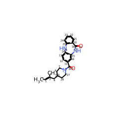 C/C=C(\C)CC1CCN(C(=O)c2ccc3c(c2)NC(=O)c2ccccc2N3)CC1